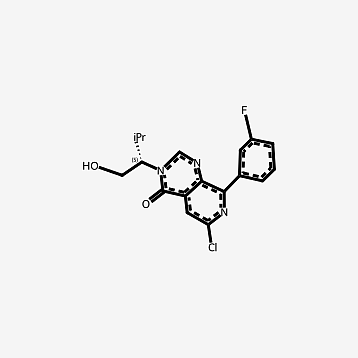 CC(C)[C@@H](CO)n1cnc2c(-c3cccc(F)c3)nc(Cl)cc2c1=O